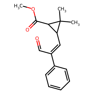 COC(=O)C1C(C=C(C=O)c2ccccc2)C1(C)C